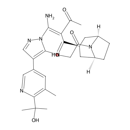 CC(=O)c1c([C@H]2C[C@H]3CC[C@@H](C2)N3C(=O)CO)nc2c(-c3cnc(C(C)(C)O)c(C)c3)cnn2c1N